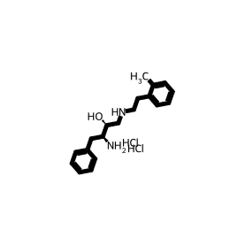 Cc1ccccc1CCNC[C@@H](O)[C@@H](N)Cc1ccccc1.Cl.Cl